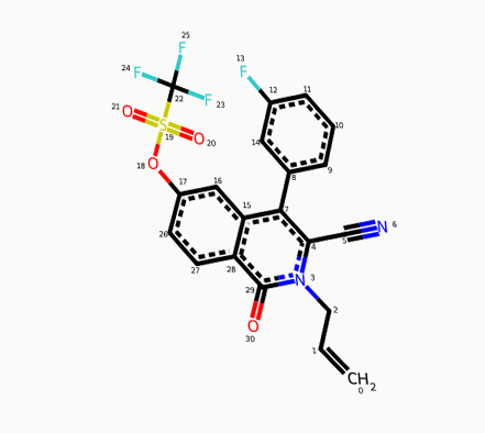 C=CCn1c(C#N)c(-c2cccc(F)c2)c2cc(OS(=O)(=O)C(F)(F)F)ccc2c1=O